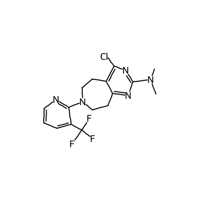 CN(C)c1nc(Cl)c2c(n1)CCN(c1ncccc1C(F)(F)F)CC2